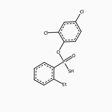 CCc1ccccc1P(=O)(S)Oc1ccc(Cl)cc1Cl